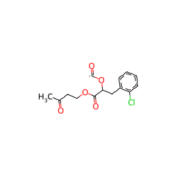 CC(=O)CCOC(=O)C(Cc1ccccc1Cl)O[C]=O